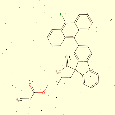 C=CC(=O)OCCCCC1(C(=C)C)c2ccccc2-c2ccc(-c3c4ccccc4c(F)c4ccccc34)cc21